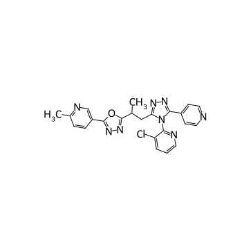 Cc1ccc(-c2nnc(C(C)Cc3nnc(-c4ccncc4)n3-c3ncccc3Cl)o2)cn1